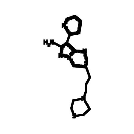 Nc1nn2cc(CCCN3CCSCC3)cnc2c1-c1ccccn1